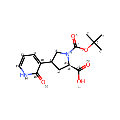 CC(C)(C)OC(=O)N1CC(c2ccc[nH]c2=O)C[C@@H]1C(=O)O